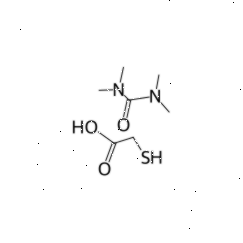 CN(C)C(=O)N(C)C.O=C(O)CS